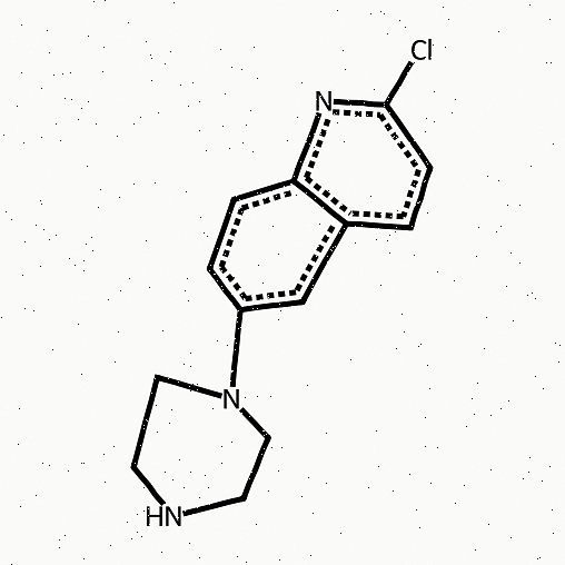 Clc1ccc2cc(N3CCNCC3)ccc2n1